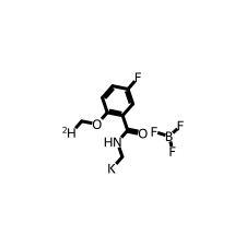 FB(F)F.[2H]COc1ccc(F)cc1C(=O)N[CH2][K]